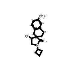 CC1CN(C2CCC2)C(=O)C12CCc1cc(C(=O)O)ccc1C2